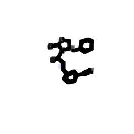 N#Cc1cccc(/C=C/C(=O)N2C(=O)OC[C@@H]2Cc2ccccc2)c1